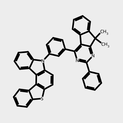 CC1(C)c2ccccc2-c2c(-c3cccc(-n4c5ccccc5c5c6c(ccc54)sc4ccccc46)c3)nc(-c3ccccc3)nc21